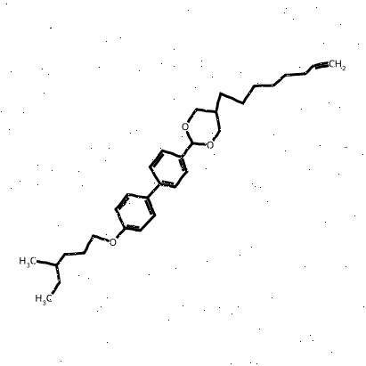 C=CCCCCCCC1COC(c2ccc(-c3ccc(OCCCC(C)CC)cc3)cc2)OC1